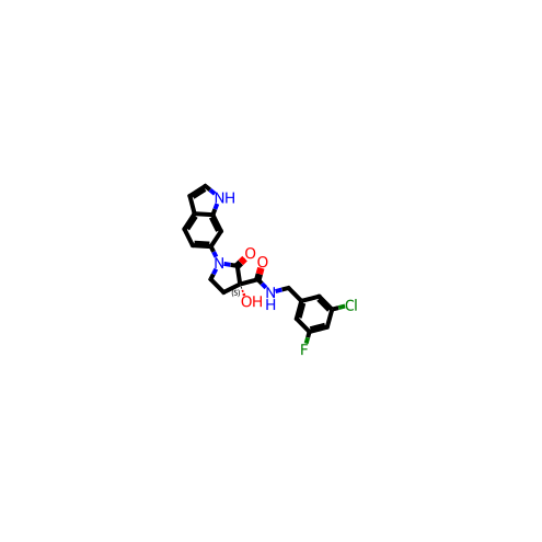 O=C(NCc1cc(F)cc(Cl)c1)[C@@]1(O)CCN(c2ccc3cc[nH]c3c2)C1=O